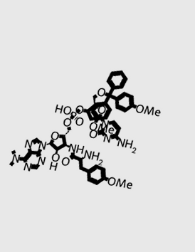 COc1ccc(C[C@H](N)C(=O)N[C@H]2[C@@H](O)[C@H](n3cnc4c(N(C)C)ncnc43)O[C@@H]2COP(=O)(O)OC2C[C@H](n3ccc(N)nc3=O)O[C@@H]2COC(c2ccccc2)(c2ccc(OC)cc2)c2ccc(OC)cc2)cc1